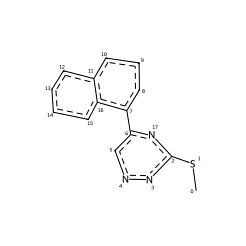 CSc1nncc(-c2cccc3ccccc23)n1